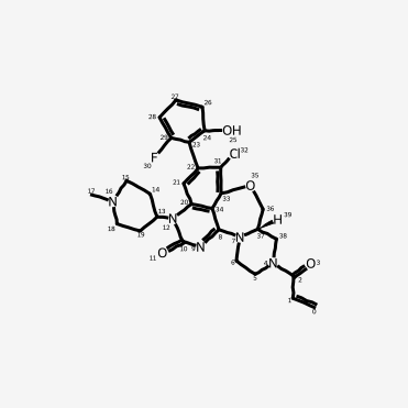 C=CC(=O)N1CCN2c3nc(=O)n(C4CCN(C)CC4)c4cc(-c5c(O)cccc5F)c(Cl)c(c34)OC[C@@H]2C1